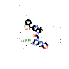 C[C@@H]1CN(CC(=O)N2CC(C)(C)c3ncc(C(O)c4ccccc4F)cc32)[C@@H](CN2[C@H](C)COC[C@H]2C)CN1.Cl.Cl